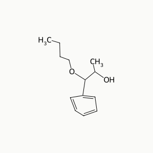 CCCCOC(c1ccccc1)C(C)O